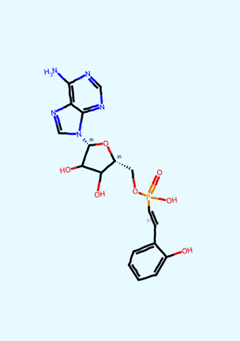 Nc1ncnc2c1ncn2[C@@H]1O[C@H](COP(=O)(O)/C=C/c2ccccc2O)C(O)C1O